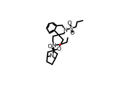 CCCOC(=O)N1C2CCC1CC(N1CCC3(CC1)CN(S(=O)(=O)CCC)Cc1ccccc13)C2